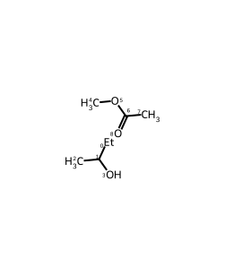 CCC(C)O.COC(C)=O